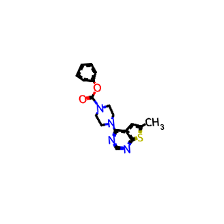 Cc1cc2c(N3CCN(C(=O)Oc4ccccc4)CC3)ncnc2s1